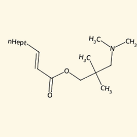 CCCCCCCC=CC(=O)OCC(C)(C)CN(C)C